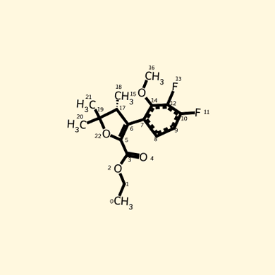 CCOC(=O)C1=C(c2ccc(F)c(F)c2OC)[C@@H](C)C(C)(C)O1